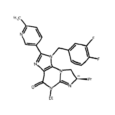 CCN1C(=O)c2nc(-c3ccc(C)nc3)n(Cc3ccc(F)c(F)c3)c2N2C[C@@H](C(C)C)N=C12